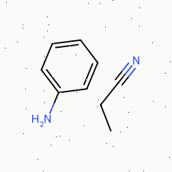 CCC#N.Nc1ccccc1